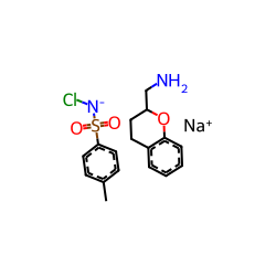 Cc1ccc(S(=O)(=O)[N-]Cl)cc1.NCC1CCc2ccccc2O1.[Na+]